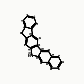 c1ccc2c(c1)Cc1cc3[nH]c4cc5ccccc5cc4c3cc1-2